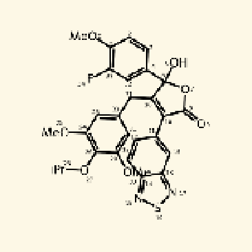 COc1ccc(C2(O)OC(=O)C(c3ccc4nsnc4c3)=C2Cc2cc(OC)c(OC(C)C)c(OC)c2)cc1F